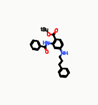 CC(C)(C)OC(=O)c1ccc(NCCCc2ccccc2)cc1NC(=O)c1ccccc1